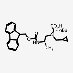 CCCC[C@@H](C(=O)O)N(CC1CC1)C[C@@H](C)NC(=O)OCC1c2ccccc2-c2ccccc21